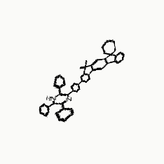 CC1(C)C2=CC3C(C=C2c2ccc(-c4ccc(C5=C(c6ccccc6)NC(c6ccccc6)C(c6ccccc6)=N5)cc4)cc21)c1ccccc1C31CCCCC1